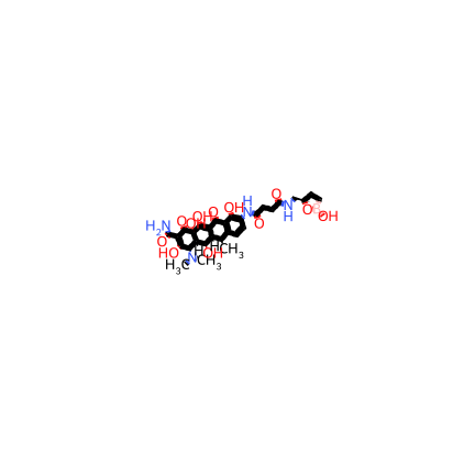 C[C@H]1c2ccc(NC(=O)CCC(=O)NC[C@H]3CCB(O)O3)c(O)c2C(=O)C2=C(O)[C@]3(O)C(=O)C(C(N)=O)=C(O)[C@@H](N(C)C)[C@@H]3[C@@H](O)[C@@H]21